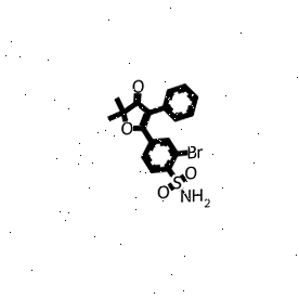 CC1(C)OC(c2ccc(S(N)(=O)=O)c(Br)c2)=C(c2ccccc2)C1=O